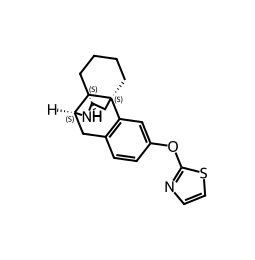 c1csc(Oc2ccc3c(c2)[C@]24CCCC[C@@H]2[C@H](C3)NCC4)n1